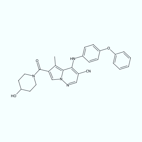 Cc1c(C(=O)N2CCC(O)CC2)cn2ncc(C#N)c(Nc3ccc(Oc4ccccc4)cc3)c12